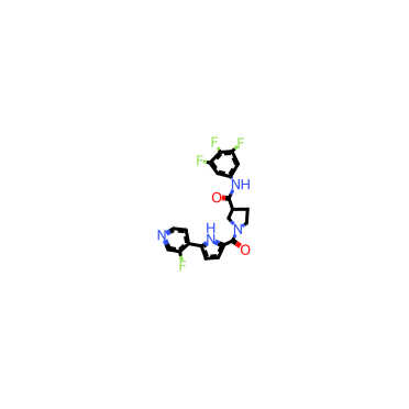 O=C(Nc1cc(F)c(F)c(F)c1)C1CCN(C(=O)c2ccc(-c3ccncc3F)[nH]2)C1